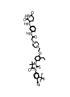 CCc1cc(N2C(=S)N(c3ccc(C#N)c(C(F)(F)F)c3)C(=O)C2(C)C)ccc1OCCN1CCN(CC(=O)Nc2cccc(NC3CCC(=O)NC3=O)c2)CC1